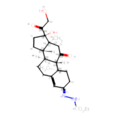 CCOC(=O)N/N=C1/C=C2CC[C@@H]3[C@H](C(=O)C[C@@]4(C)[C@H]3CC[C@]4(O)C(=O)CO)[C@@]2(C)CC1